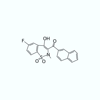 CN1C(C(=O)c2ccc3ccccc3c2)=C(O)c2cc(F)ccc2S1(=O)=O